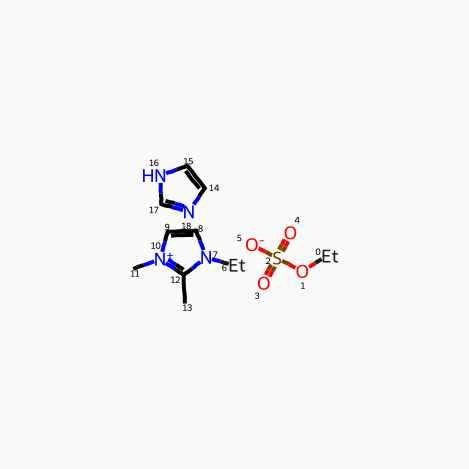 CCOS(=O)(=O)[O-].CCn1cc[n+](C)c1C.c1c[nH]cn1